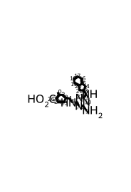 Cc1cc(CNc2nc(N)nc(NC3Cc4ccccc4C3)n2)ccc1C(=O)O